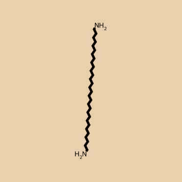 NCCCCCCCCCCCCCCCCCCCCCCCCCCCCCCN